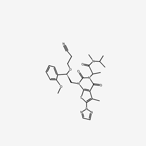 COc1ccccc1[C@H](Cn1c(=O)n(C(C)C(=O)N(C)C(C)C)c(=O)c2c(C)c(-n3nccn3)sc21)OCCC#N